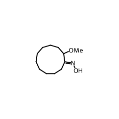 COC1CCCCCCCCCC1=NO